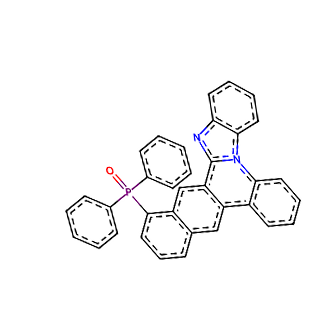 O=P(c1ccccc1)(c1ccccc1)c1cccc2cc3c4ccccc4n4c5ccccc5nc4c3cc12